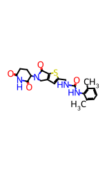 Cc1cccc(C)c1NC(=O)NCc1cc2c(s1)C(=O)N(C1CCC(=O)NC1=O)C2